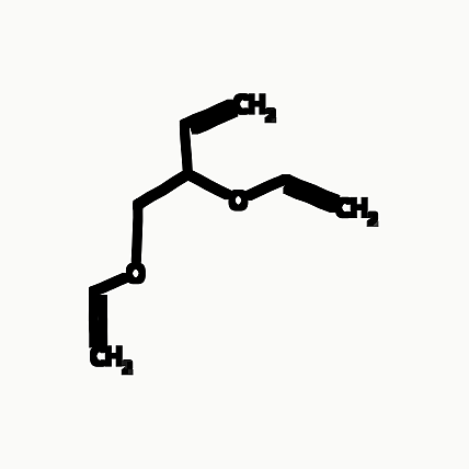 C=COCC(C=C)OC=C